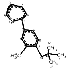 Cc1cc(-c2ccccn2)ccc1CC(C)(C)C